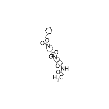 C=CC(=O)Nc1cc2c(o1)CN(S(=O)(=O)C1CCN(C(=O)OCc3ccccc3)CC1)C2